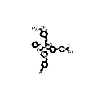 CC(=O)N1CCN(c2ccc(CN(C(=O)C=Cc3ccc(C(C)C)cc3)[C@@H](Cc3ccccc3)C(=O)N3CCN(Cc4ccc(C#N)cc4)CC3)cc2)CC1